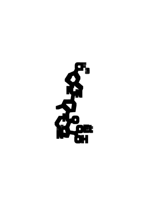 CCOC(O)c1cnn2c1C(=O)N(c1ccc(-c3ncc4cc(C(F)(F)F)ccc4n3)cc1C)CC2